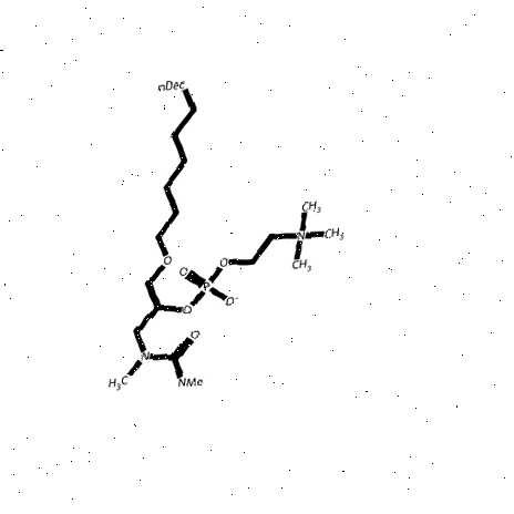 CCCCCCCCCCCCCCCCOCC(CN(C)C(=O)NC)OP(=O)([O-])OCC[N+](C)(C)C